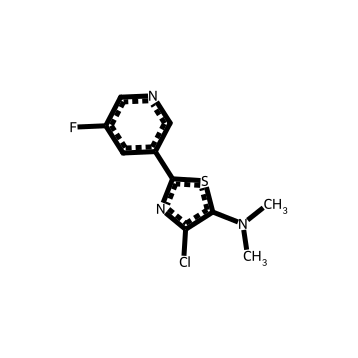 CN(C)c1sc(-c2cncc(F)c2)nc1Cl